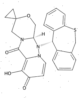 O=C1c2c(O)c(=O)ccn2N([C@H]2c3ccccc3CSc3ccccc32)[C@@H]2COC3(CC3)CN12